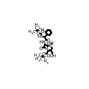 CC(C)(C)OC(=O)NC(C(=O)NC1C(=O)N2C(C(=O)OC(C)(C)C)=C(CO)C[S+]([O-])[C@@H]12)c1ccccc1